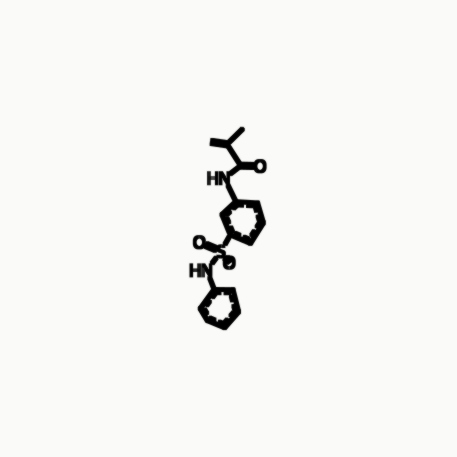 C=C(C)C(=O)Nc1cccc(S(=O)(=O)Nc2ccccc2)c1